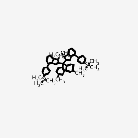 Cc1ccc(C2(c3ccc(C)cc3)C3=Cc4c(-c5ccc([Si](C)(C)C)cc5)cccc4[CH]3[Hf]([CH3])([CH3])[CH]3C2=Cc2c(-c4ccc([Si](C)(C)C)cc4)cccc23)cc1